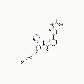 COCCOCCn1cc(NC(=O)c2cccc(-c3ccc(NC(C)O)nc3)n2)c(-c2ccccn2)n1